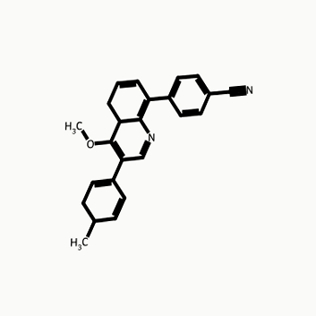 COC1=C(C2=CCC(C)C=C2)C=NC2=C(c3ccc(C#N)cc3)C=CCC21